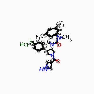 CN(C(=O)N(C)[C@@H]1CN(C(=O)C2CNC2)C[C@H]1c1ccc(F)cc1)c1cc(C(F)(F)F)cc(C(F)(F)F)c1.Cl